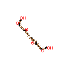 O=C(CSCSCC[S+]([O-])CSCSCSCSC(=O)CSCSCC(=O)SCCO)SCCO